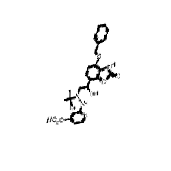 CCC(C)(C)N(CC(O)c1ccc(OCc2ccccc2)c2[nH]c(=O)oc12)Nc1cc(C(=O)O)ccn1